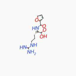 N=C(N)NCCC[C@H](NC(=O)c1ccco1)C(=O)O